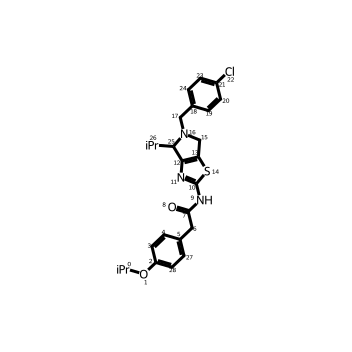 CC(C)Oc1ccc(CC(=O)Nc2nc3c(s2)CN(Cc2ccc(Cl)cc2)C3C(C)C)cc1